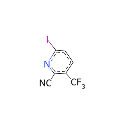 N#Cc1nc(I)ccc1C(F)(F)F